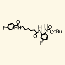 CC(C)(C)OC(=O)Nc1ccc(F)cc1NC(=O)CCCCCNC(=O)c1ccc(F)cc1